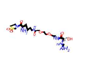 NCN[C@@H](CO)C(=O)NCCOCCOCC(=O)NCCCCC(N)C(=O)N1CCS(=O)(=O)C1